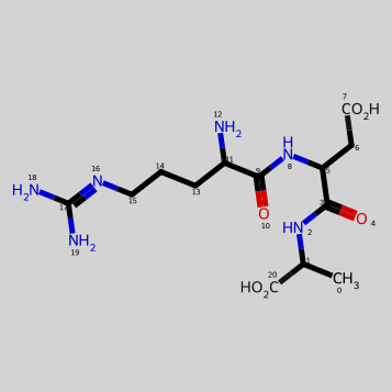 CC(NC(=O)C(CC(=O)O)NC(=O)C(N)CCCN=C(N)N)C(=O)O